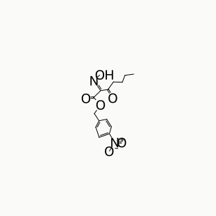 CCCCC(=O)/C(=N\O)C(=O)OCc1ccc([N+](=O)[O-])cc1